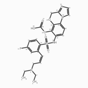 CCN(CC)C/C=C\c1cc(F)ccc1S(=O)(=O)Nc1ccc2c(c1OC(=O)O)OCc1nccn1-2